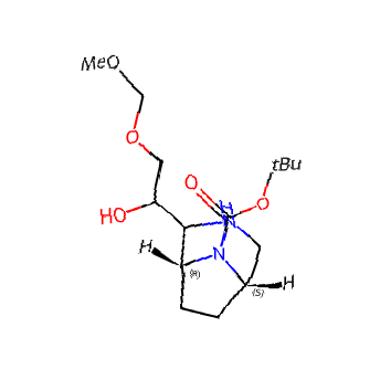 COCOCC(O)C1NC[C@@H]2CC[C@H]1N2C(=O)OC(C)(C)C